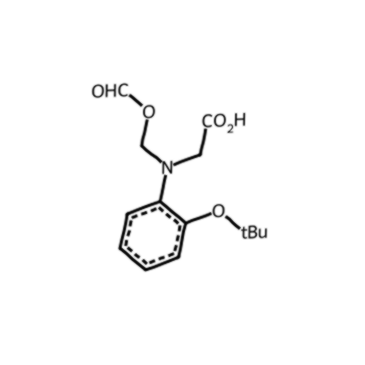 CC(C)(C)Oc1ccccc1N(COC=O)CC(=O)O